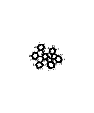 c1ccc(-c2cc3c(c(-c4ccccc4)c2-c2ccccc2)-c2ccccc2C32c3ccccc3-c3ccccc32)cc1